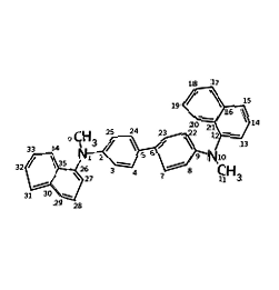 CN(c1ccc(-c2ccc(N(C)c3cccc4ccccc34)cc2)cc1)c1cccc2ccccc12